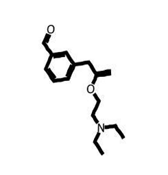 C=C(Cc1cccc(C=O)c1)OCCN(CC)CC